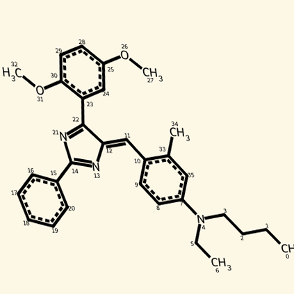 CCCCN(CC)c1ccc(/C=C2\N=C(c3ccccc3)N=C2c2cc(OC)ccc2OC)c(C)c1